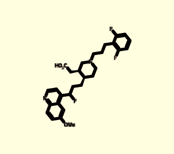 COc1ccc2nccc(C(F)CC[C@@H]3CCN(CCCc4c(F)cccc4F)C[C@@H]3CC(=O)O)c2c1